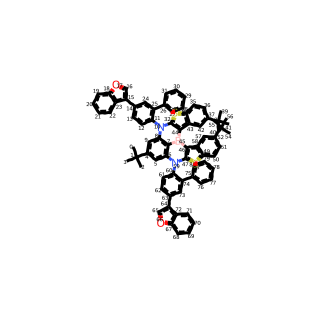 CC(C)(C)c1cc2c3c(c1)N(c1ccc(-c4coc5ccccc45)cc1-c1ccccc1)c1sc4ccc(C(C)(C)C)cc4c1B3c1c(sc3ccc(C(C)(C)C)cc13)N2c1ccc(-c2coc3ccccc23)cc1-c1ccccc1